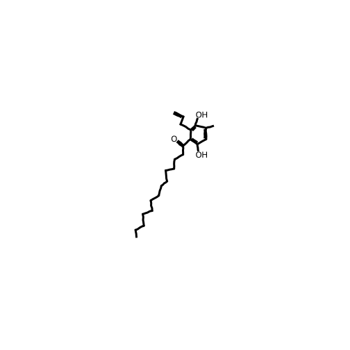 C=CCc1c(O)c(C)cc(O)c1C(=O)CCCCCCCCCCCCC